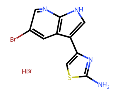 Br.Nc1nc(-c2c[nH]c3ncc(Br)cc23)cs1